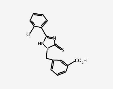 O=C(O)c1cccc(Cn2[nH]c(-c3ccccc3Cl)nc2=S)c1